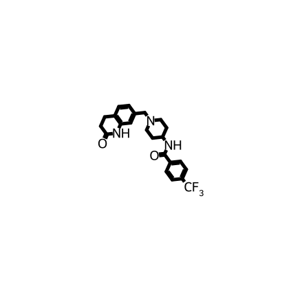 O=C1CCc2ccc(CN3CCC(NC(=O)c4ccc(C(F)(F)F)cc4)CC3)cc2N1